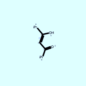 CC(C)C(=O)/C=C(\O)C(C)C